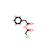 O=C(CCl)OC(=O)Cc1ccccc1